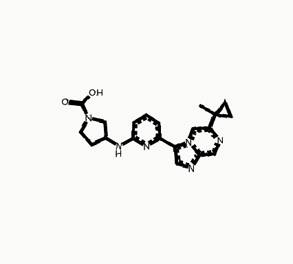 CC1(c2cn3c(-c4cccc(NC5CCN(C(=O)O)C5)n4)cnc3cn2)CC1